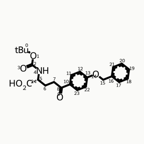 CC(C)(C)OC(=O)N[C@H](CCC(=O)c1ccc(OCc2ccccc2)cc1)C(=O)O